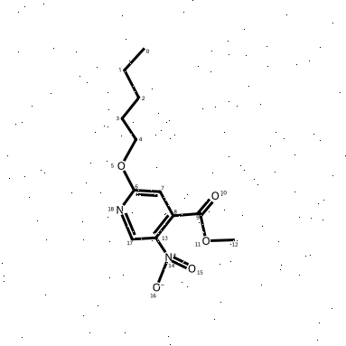 CCCCCOc1cc(C(=O)OC)c([N+](=O)[O-])cn1